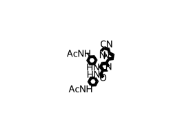 CC(=O)NC1CCC(NC(=O)c2cnc(-c3ccc4cc(C#N)cnn34)cc2N[C@H]2CC[C@H](NC(C)=O)CC2)CC1